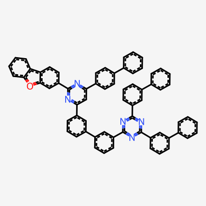 c1ccc(-c2ccc(-c3cc(-c4cccc(-c5cccc(-c6nc(-c7cccc(-c8ccccc8)c7)nc(-c7cccc(-c8ccccc8)c7)n6)c5)c4)nc(-c4ccc5c(c4)oc4ccccc45)n3)cc2)cc1